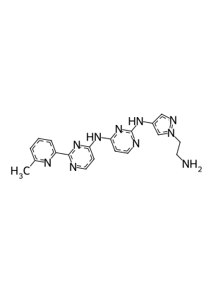 Cc1cccc(-c2nccc(Nc3ccnc(Nc4cnn(CCN)c4)n3)n2)n1